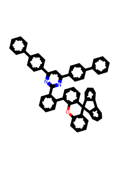 c1ccc(-c2ccc(-c3cc(-c4ccc(-c5ccccc5)cc4)nc(-c4ccccc4-c4cccc5c4Oc4ccccc4C54c5ccccc5-c5ccccc54)n3)cc2)cc1